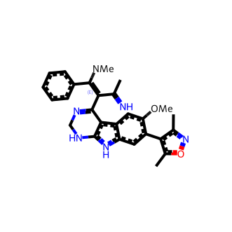 CN/C(=C(\C(C)=N)C1=NCNc2[nH]c3cc(-c4c(C)noc4C)c(OC)cc3c21)c1ccccc1